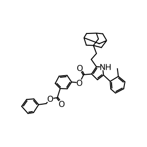 Cc1ccccc1-c1cc(C(=O)Oc2cccc(C(=O)OCc3ccccc3)c2)c(CCC23CC4CC(CC(C4)C2)C3)[nH]1